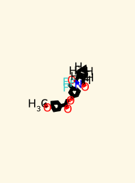 COc1ccc(C(=O)COc2ccc(N3C(=O)[C@@H]4[C@@H]5C=C[C@@H]([C@H]6C[C@@H]56)[C@@H]4C3=O)c(C(F)(F)F)c2)cc1